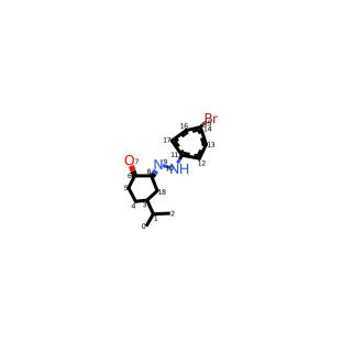 CC(C)C1CCC(=O)C(=NNc2ccc(Br)cc2)C1